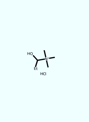 CCC(O)[N+](C)(C)C.Cl